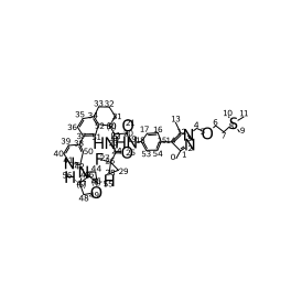 Cc1nn(COCCS(C)(C)C)c(C)c1-c1ccc(NC(=O)[C@@H](NC(=O)C2(F)CC2)[C@@H]2CCCc3ccc(-c4ccnc(N5C[C@@H]6C[C@H]5CO6)c4)cc32)cc1